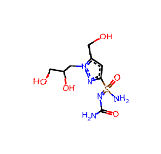 NC(=O)N=S(N)(=O)c1cc(CO)n(CC(O)CO)n1